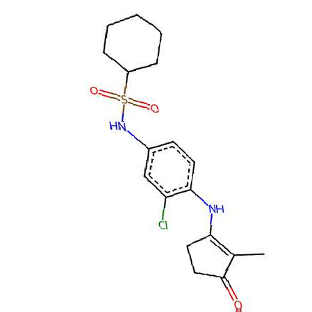 CC1=C(Nc2ccc(NS(=O)(=O)C3CCCCC3)cc2Cl)CCC1=O